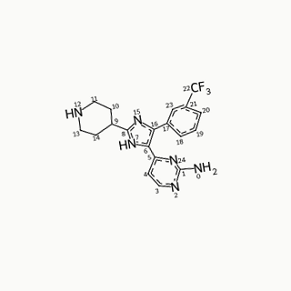 Nc1nccc(-c2[nH]c(C3CCNCC3)nc2-c2cccc(C(F)(F)F)c2)n1